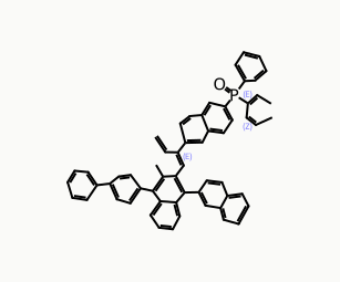 C=C/C(=C\c1c(C)c(-c2ccc(-c3ccccc3)cc2)c2ccccc2c1-c1ccc2ccccc2c1)c1ccc2cc(P(=O)(C(/C=C\C)=C/C)c3ccccc3)ccc2c1